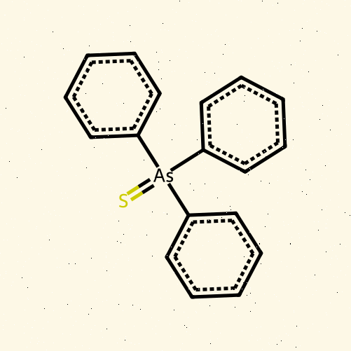 S=[As](c1ccccc1)(c1ccccc1)c1ccccc1